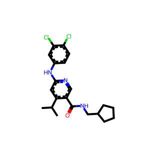 CC(C)c1cc(Nc2ccc(Cl)c(Cl)c2)ncc1C(=O)NCC1CCCC1